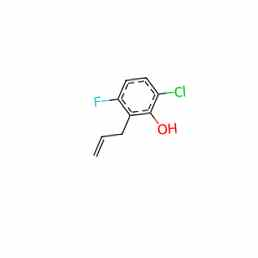 C=CCc1c(F)ccc(Cl)c1O